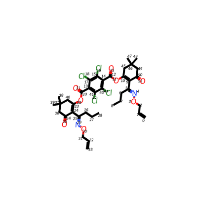 C=CCON=C(CCC)C1=C(OC(=O)c2c(Cl)c(Cl)c(C(=O)OC3=C(C(CCC)=NOCC=C)C(=O)CC(C)(C)C3)c(Cl)c2Cl)CC(C)(C)CC1=O